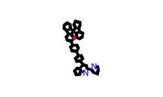 c1ccc(-c2cc(-c3ccc(-c4ccc(-c5ccc6c(c5)C5(c7ccccc7-c7ccccc75)c5ccccc5-6)cc4)cc3)c3ccccc3n2)nc1